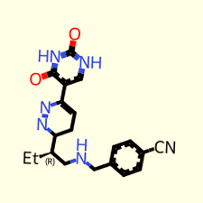 CC[C@H](CNCc1ccc(C#N)cc1)C1CC=C(c2c[nH]c(=O)[nH]c2=O)N=N1